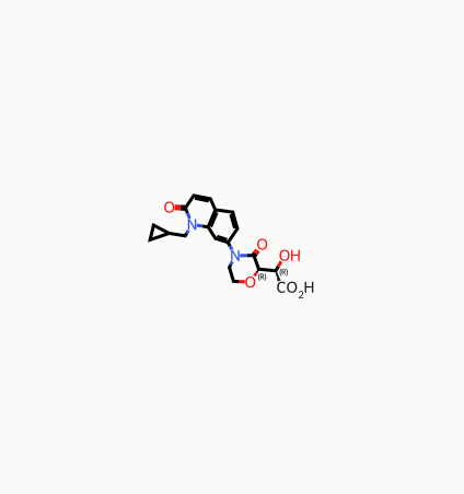 O=C(O)[C@H](O)[C@H]1OCCN(c2ccc3ccc(=O)n(CC4CC4)c3c2)C1=O